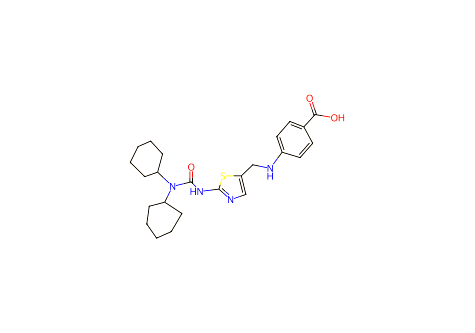 O=C(O)c1ccc(NCc2cnc(NC(=O)N(C3CCCCC3)C3CCCCC3)s2)cc1